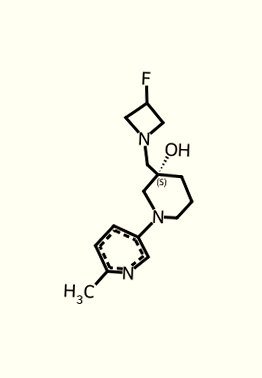 Cc1ccc(N2CCC[C@](O)(CN3CC(F)C3)C2)cn1